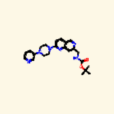 CC(C)(C)OC(=O)NCc1cc2nc(N3CCN(c4cccnc4)CC3)ccc2cn1